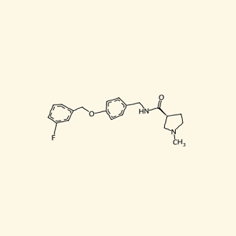 CN1CC[C@H](C(=O)NCc2ccc(OCc3cccc(F)c3)cc2)C1